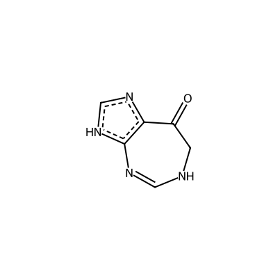 O=C1CNC=Nc2[nH]cnc21